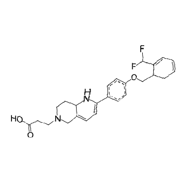 O=C(O)CCN1CCC2NC(c3ccc(OCC4CC=CC=C4C(F)F)cc3)=CC=C2C1